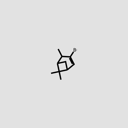 [B]C1=CC2CC(C1C)C2(C)C